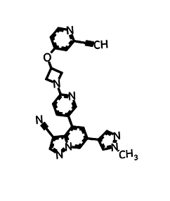 C#Cc1cc(OC2CN(c3ccc(-c4cc(-c5cnn(C)c5)cn5ncc(C#N)c45)cn3)C2)ccn1